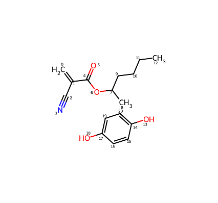 C=C(C#N)C(=O)OC(C)CCCC.Oc1ccc(O)cc1